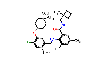 COc1cc(F)c(O[C@H]2CC[C@@](C)(C(=O)O)CC2)cc1CNc1c(C)cc(C)cc1C(=O)NCC1(C)CCC1